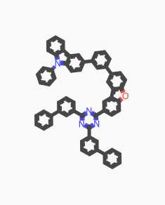 c1ccc(-c2cccc(-c3nc(-c4cccc(-c5ccccc5)c4)nc(-c4ccc5oc6ccc(-c7cccc(-c8ccc9c(c8)c8ccccc8n9-c8ccccc8)c7)cc6c5c4)n3)c2)cc1